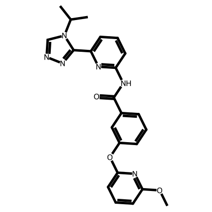 COc1cccc(Oc2cccc(C(=O)Nc3cccc(-c4nncn4C(C)C)n3)c2)n1